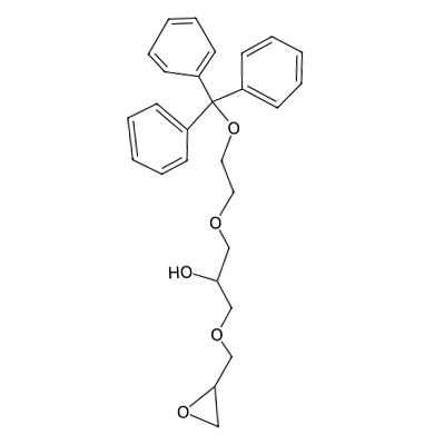 OC(COCCOC(c1ccccc1)(c1ccccc1)c1ccccc1)COCC1CO1